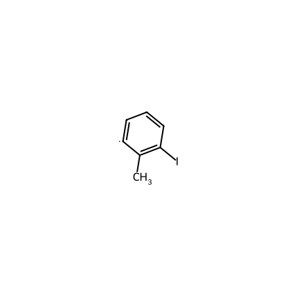 Cc1[c]cccc1I